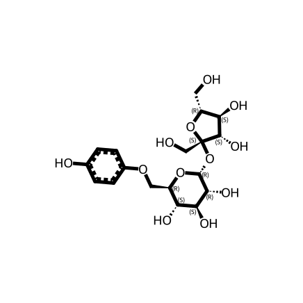 OC[C@H]1O[C@@](CO)(O[C@H]2O[C@H](COc3ccc(O)cc3)[C@@H](O)[C@H](O)[C@H]2O)[C@@H](O)[C@@H]1O